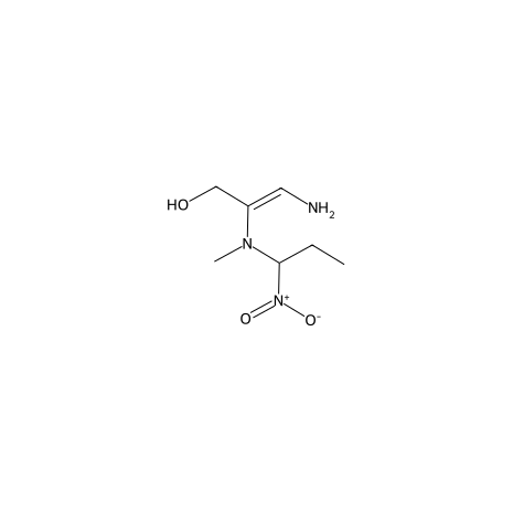 CCC(N(C)/C(=C\N)CO)[N+](=O)[O-]